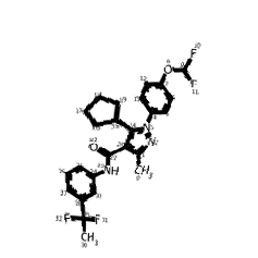 Cc1nn(-c2ccc(OC(F)F)cc2)c(C2CCCC2)c1C(=O)Nc1cccc(C(C)(F)F)c1